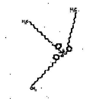 CCCCCCCCCCCCCCCc1cccc(OP(=S)(Oc2cccc(CCCCCCCCCCCCCCC)c2)Oc2cccc(CCCCCCCCCCCCCCC)c2)c1